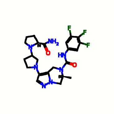 C[C@H]1Cn2ncc(N3CCC(N4CCC[C@H]4C(N)=O)C3)c2CN1C(=O)Nc1cc(F)c(F)c(F)c1